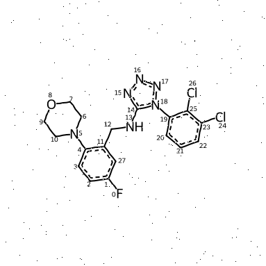 Fc1ccc(N2CCOCC2)c(CNc2nnnn2-c2cccc(Cl)c2Cl)c1